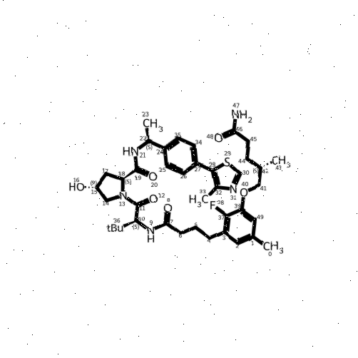 Cc1cc(CCCC(=O)N[C@H](C(=O)N2C[C@H](O)C[C@H]2C(=O)N[C@@H](C)c2ccc(-c3scnc3C)cc2)C(C)(C)C)c(F)c(OC[C@@H](C)CCC(N)=O)c1